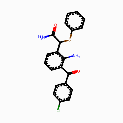 NC(=O)C(Sc1ccccc1)c1cccc(C(=O)c2ccc(Cl)cc2)c1N